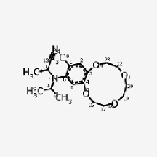 Cc1cc2c(cc1N(C(C)C)C(C)C#N)OCCOCCOCCO2